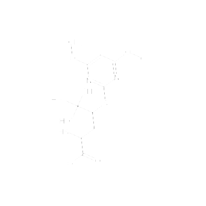 COc1cc(OC)nc(SC(CC(S)C(=O)O)C(C)(C)C)n1